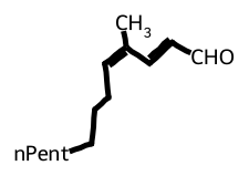 CCCCCCCC/C=C(C)\C=C\C=O